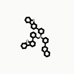 c1cc(-c2ccc3ccccc3c2)cc(N(Cc2ccccc2-c2cccc3c2oc2ccccc23)c2cccc(-c3ccc4c(c3)sc3ccccc34)c2)c1